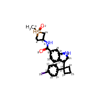 C[SH]1(=O)CCC(NC(=O)c2ccc3c(C4(c5ccc(I)cc5)CCC4)c[nH]c3c2)C1